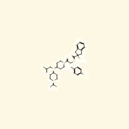 CC(C)CN(C1CCN(C(=O)[C@@H](Cc2ccc(Cl)cc2)NC(=O)C2(N)Cc3ccccc3C2)CC1)C1CCN(C(C)C)CC1